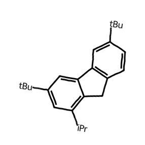 CC(C)c1cc(C(C)(C)C)cc2c1Cc1ccc(C(C)(C)C)cc1-2